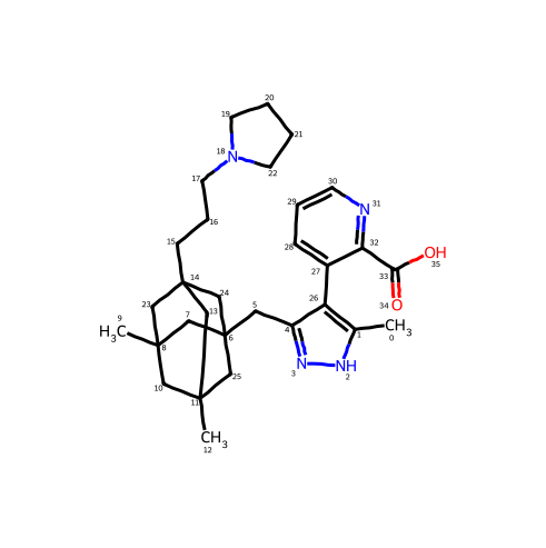 Cc1[nH]nc(CC23CC4(C)CC(C)(CC(CCCN5CCCC5)(C4)C2)C3)c1-c1cccnc1C(=O)O